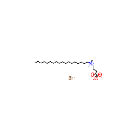 CCCCCCCCCCCCCCCCCC[N+](C)(C)CCC[Si](OC)(OC)OC.[Br-]